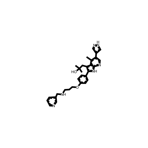 Cc1c(-c2cn[nH]c2)cnc2[nH]c(-c3ccc(OCCCNCc4cccnc4)cc3)c(CC(C)(C)O)c12